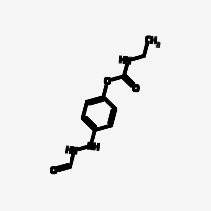 CCNC(=O)Oc1ccc(NNC=O)cc1